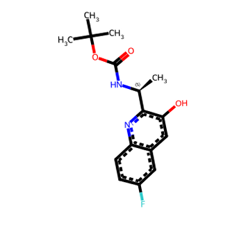 C[C@H](NC(=O)OC(C)(C)C)c1nc2ccc(F)cc2cc1O